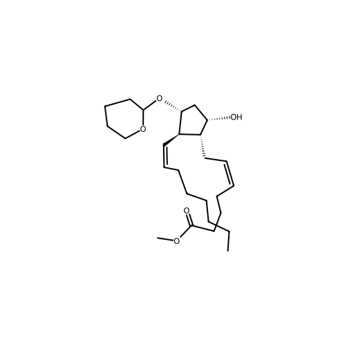 CCCCCC/C=C\[C@@H]1[C@@H](C/C=C\CCCC(=O)OC)[C@@H](O)C[C@H]1OC1CCCCO1